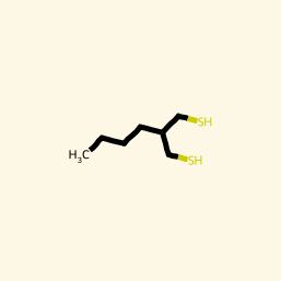 CCCCC(CS)CS